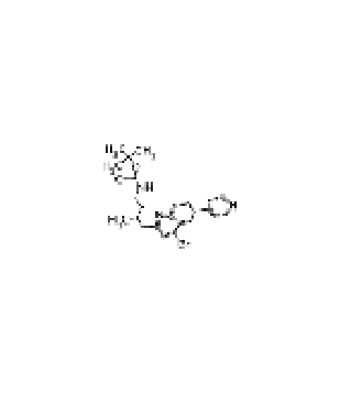 CC(CCNC(=O)OC(C)(C)C)Cc1cc(Br)c2cc(-c3ccncc3)ccc2n1